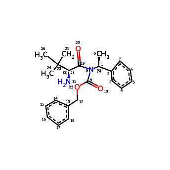 C[C@@H](c1ccccc1)N(C(=O)OCc1ccccc1)C(=O)[C@@H](N)C(C)(C)C